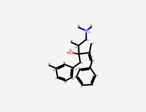 C/C(=C/c1ccccc1)C(O)(Cc1cccc(C)c1)C(C)CN(C)C